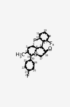 Cc1ccc2c(-c3c(F)cccc3F)c(=O)ccn2c1-c1ccc(F)cc1